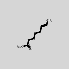 C/C=C/CCCCC(=O)OC